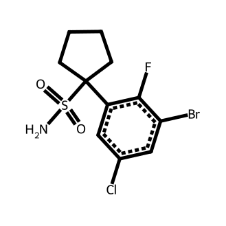 NS(=O)(=O)C1(c2cc(Cl)cc(Br)c2F)CCCC1